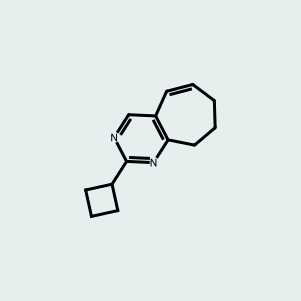 C1=Cc2cnc(C3CCC3)nc2CCC1